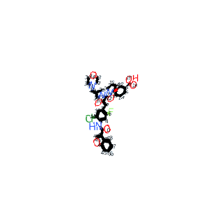 O=C(Nc1cc(F)c(CC(=O)C(O[C@H]2CC[C@H](C(=O)O)CC2)(N2CCCC2)N2CC(CN3CCOCC3)C2)cc1Cl)c1coc2ccccc12